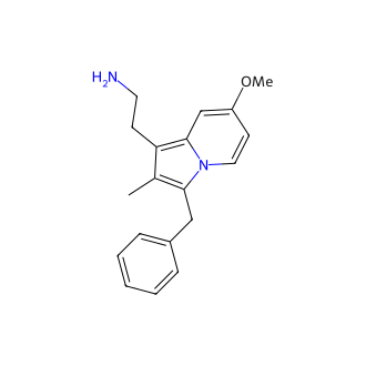 COc1ccn2c(Cc3ccccc3)c(C)c(CCN)c2c1